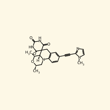 C[C@@H]1CN2c3ccc(C#Cc4nccn4C)cc3CC3(C(=O)NC(=O)NC3=O)[C@H]2[C@H](C)O1